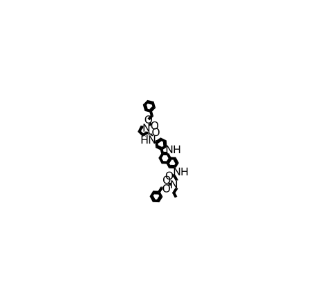 CCCN(CC(=O)Nc1ccc2c(c1)CCc1c-2[nH]c2ccc(NC(=O)[C@@H]3CCCN3C(=O)OCc3ccccc3)cc12)C(=O)OCc1ccccc1